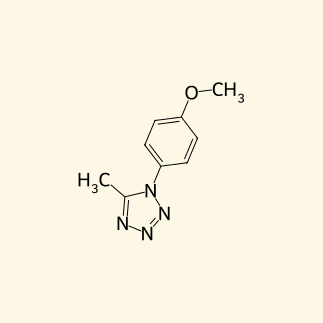 COc1ccc(-n2nnnc2C)cc1